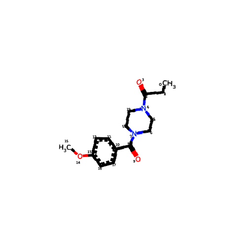 CCC(=O)N1CCN(C(=O)c2ccc(OC)cc2)CC1